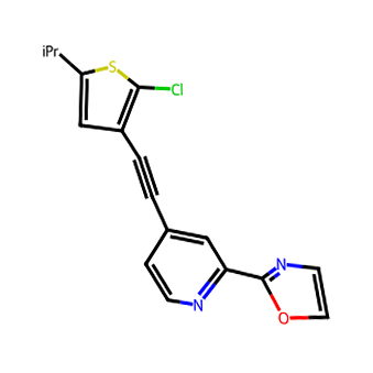 CC(C)c1cc(C#Cc2ccnc(-c3ncco3)c2)c(Cl)s1